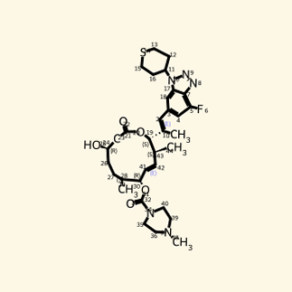 C/C(=C\c1cc(F)c2nnn(C3CCSCC3)c2c1)[C@H]1OC(=O)C[C@H](O)CC[C@H](C)[C@@H](OC(=O)N2CCN(C)CC2)/C=C/[C@@H]1C